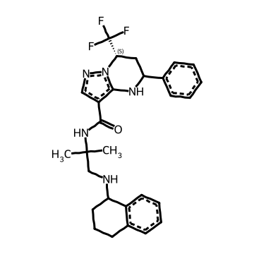 CC(C)(CNC1CCCc2ccccc21)NC(=O)c1cnn2c1NC(c1ccccc1)C[C@H]2C(F)(F)F